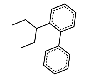 CCC(CC)c1ccccc1-c1ccccc1